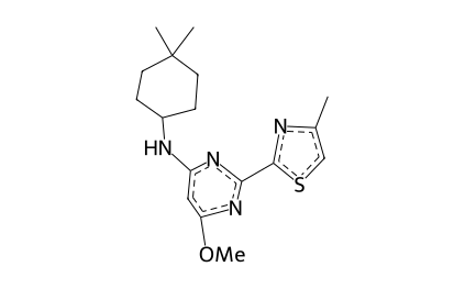 COc1cc(NC2CCC(C)(C)CC2)nc(-c2nc(C)cs2)n1